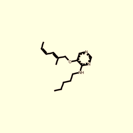 C/C=C\C=C(/C)COc1cncnc1NCCCCC